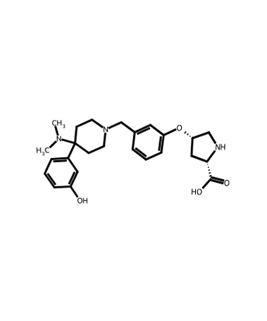 CN(C)C1(c2cccc(O)c2)CCN(Cc2cccc(O[C@@H]3CN[C@H](C(=O)O)C3)c2)CC1